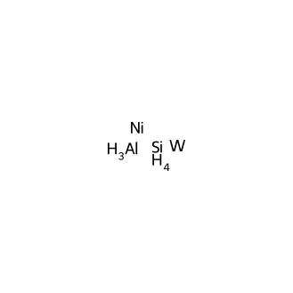 [AlH3].[Ni].[SiH4].[W]